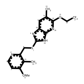 COc1ccnc(CSc2nc3cc(C)c(OCC(F)(F)F)nc3[nH]2)c1C